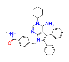 CNC(=O)c1ccc(Cn2c3c(c(-c4ccccc4)c2-c2ccccc2)C(N)N(C2CCCCC2)C=N3)cc1